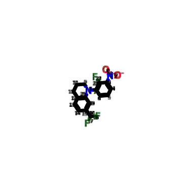 O=[N+]([O-])c1cccc(N2CCCc3ccc(C(F)F)cc32)c1F